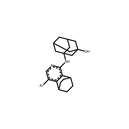 CC(=O)c1cnc(NC23CC4CC(CC(O)(C4)C2)C3)c2c1C1CCC2CC1